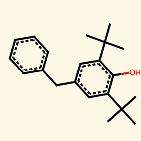 CC(C)(C)c1cc([CH]c2ccccc2)cc(C(C)(C)C)c1O